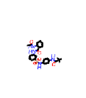 CC(=O)Nc1ccccc1C(=O)Nc1cccc(S(=O)(=O)Nc2ccc(NC(=O)C(C)(C)C)cc2)c1